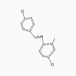 Cc1cc(Cl)ccc1/N=C/c1ccc(Cl)cc1